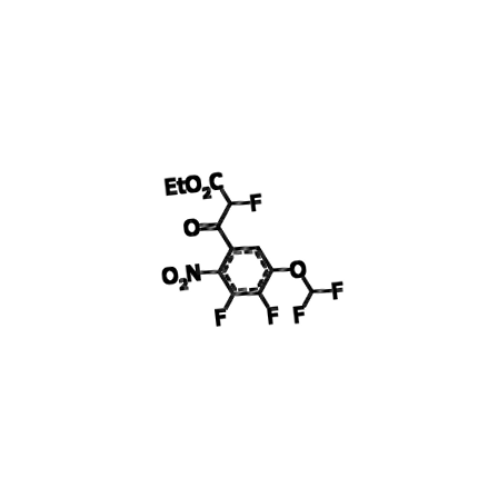 CCOC(=O)C(F)C(=O)c1cc(OC(F)F)c(F)c(F)c1[N+](=O)[O-]